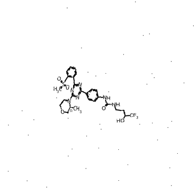 C[C@H]1COCCN1c1nc(-c2ccc(NC(=O)NCCC(O)C(F)(F)F)cc2)nc(-c2ccccc2S(C)(=O)=O)n1